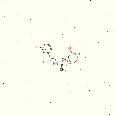 CC(C)(C[C@H]1CCNC(=O)C1)NC[C@H](O)c1cccc(F)c1